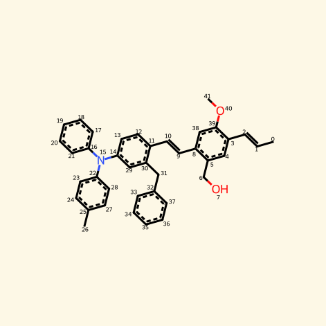 CC=Cc1cc(CO)c(C=Cc2ccc(N(c3ccccc3)c3ccc(C)cc3)cc2Cc2ccccc2)cc1OC